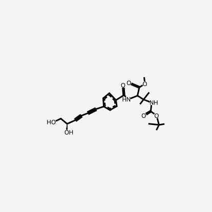 COC(=O)C(NC(=O)c1ccc(C#CC#C[C@@H](O)CO)cc1)C(C)(C)NC(=O)OC(C)(C)C